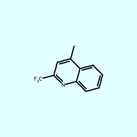 [CH2]c1cc(C(F)(F)F)nc2ccccc12